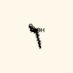 CCCCCCCCCCCCc1cc2c(cc1O)OC(C=O)CC2